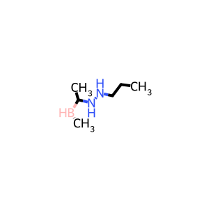 CBC(C)NNCCC